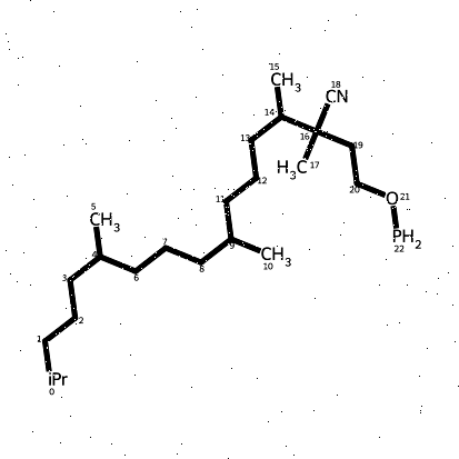 CC(C)CCCC(C)CCCC(C)CCCC(C)C(C)(C#N)CCOP